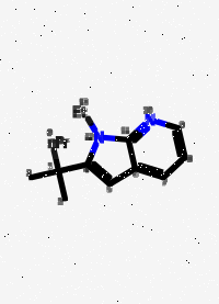 CCCC(C)(C)c1cc2cccnc2n1CC